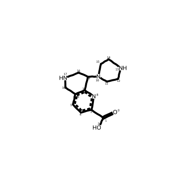 O=C(O)c1ccc2c(n1)C(N1CCNCC1)CNC2